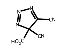 N#CC1=NN=NC1(C#N)C(=O)O